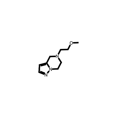 COCCN1CCn2nccc2C1